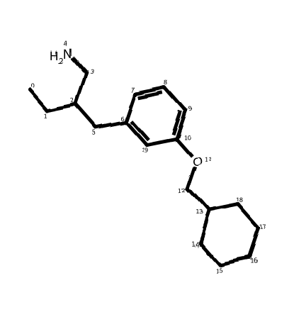 CCC(CN)Cc1cccc(OCC2CCCCC2)c1